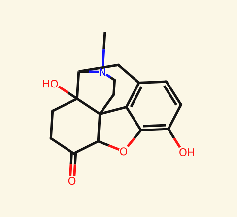 CN1CCC23c4c5ccc(O)c4OC2C(=O)CCC3(O)C1C5